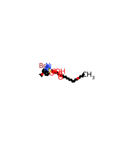 CCCCCCCC/C=C\CCCCCCCC(=O)OCC(O)COC(=O)CSc1nnc(Br)n1-c1ccc(C2CC2)c2ccccc12